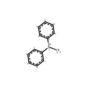 FC(F)(F)[SiH](c1ccccc1)c1ccccc1